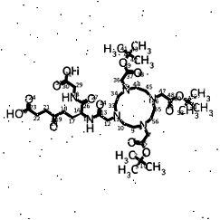 CC(C)(C)OC(=O)CN1CCN(CC(=O)N[C@@H](CCC(=O)CCC(=O)O)C(=O)NCC(=O)O)CCN(CC(=O)OC(C)(C)C)CCN(CC(=O)OC(C)(C)C)CC1